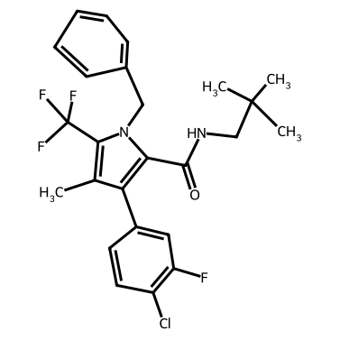 Cc1c(-c2ccc(Cl)c(F)c2)c(C(=O)NCC(C)(C)C)n(Cc2ccccc2)c1C(F)(F)F